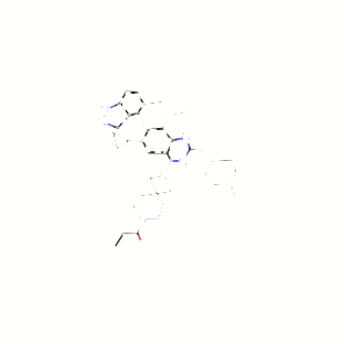 C=CC(=O)N1CCC2(CC1)CN(c1nc(OC3CCN(CCC)CC3)nc3c(OCC(F)(F)F)c(-c4c(C)ccc5[nH]ncc45)c(C4CC4)cc13)C2